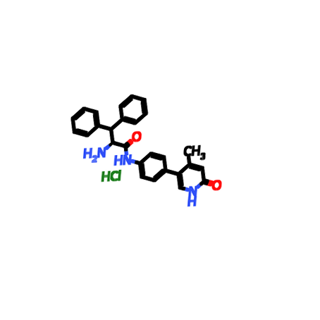 Cc1cc(=O)[nH]cc1-c1ccc(NC(=O)[C@@H](N)C(c2ccccc2)c2ccccc2)cc1.Cl